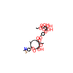 C=CCOC(=O)[C@H]1O[C@@H](Oc2ccc(COC(=O)O[C@H]3[C@@H](C)CCCC(C)=CC[C@@H](c4ccc5sc(C)nc5c4)OC(=O)C[C@H](O)C(C)(C)C(=O)[C@@H]3CC=C)cc2)[C@H](O)[C@@H](O)[C@@H]1O